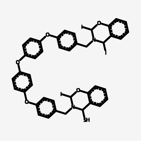 SC1c2ccccc2OC(I)N1Cc1ccc(Oc2ccc(Oc3ccc(Oc4ccc(CN5C(I)Oc6ccccc6C5I)cc4)cc3)cc2)cc1